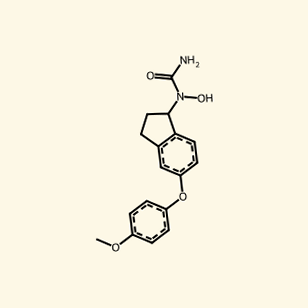 COc1ccc(Oc2ccc3c(c2)CCC3N(O)C(N)=O)cc1